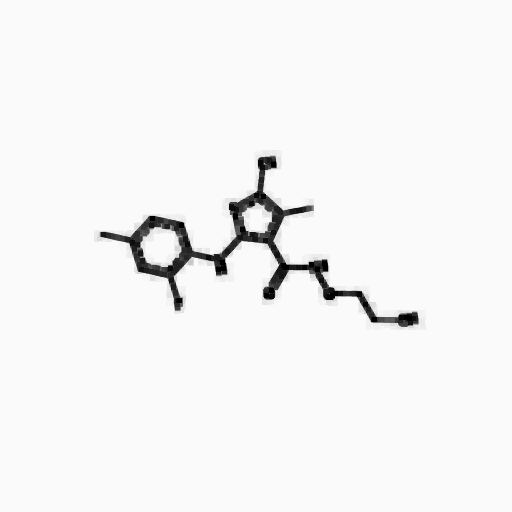 Cc1ccc(Nc2sc(C#N)c(C)c2C(=O)NOCCO)c(F)c1